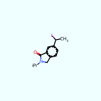 CC(I)c1ccc2c(c1)C(=O)N(C(C)C)C2